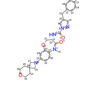 CN1C(=O)[C@@H](NC(=O)n2cc(Cc3ccc(F)cc3)cn2)COc2cc(N3CC4(CCOCC4)C3)ccc21